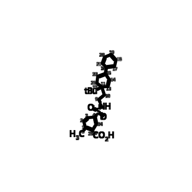 Cc1ccc(S(=O)(=O)NCCC2(C(C)(C)C)C=CC(c3ccccc3)=CC2)cc1C(=O)O